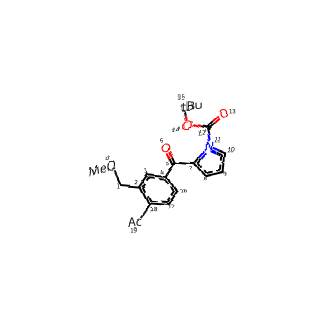 COCc1cc(C(=O)c2cccn2C(=O)OC(C)(C)C)ccc1C(C)=O